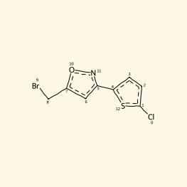 Clc1ccc(-c2cc(CBr)on2)s1